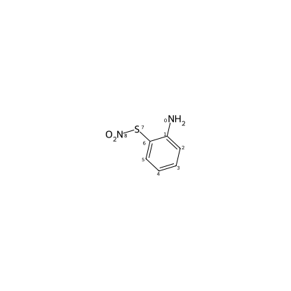 Nc1ccccc1S[N+](=O)[O-]